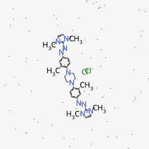 Cc1cc(/N=N/c2n(C)cc[n+]2C)ccc1N1CCN(c2ccc(/N=N/c3n(C)cc[n+]3C)cc2C)CC1.[Cl-].[Cl-]